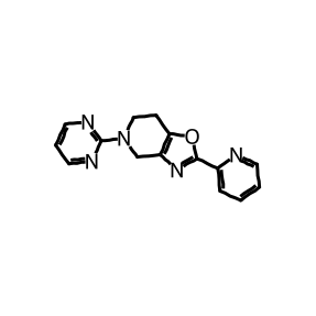 c1ccc(-c2nc3c(o2)CCN(c2ncccn2)C3)nc1